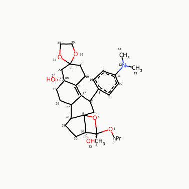 CCCOC1(C)OC23CC(c4ccc(N(C)C)cc4)C4=C5CCC6(C[C@]5(O)CCC4C2CC[C@]13O)OCCO6